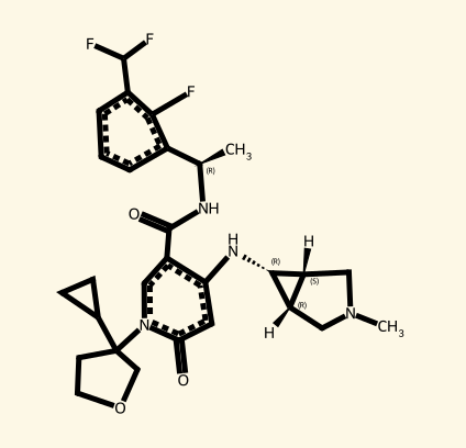 C[C@@H](NC(=O)c1cn(C2(C3CC3)CCOC2)c(=O)cc1N[C@@H]1[C@@H]2CN(C)C[C@@H]21)c1cccc(C(F)F)c1F